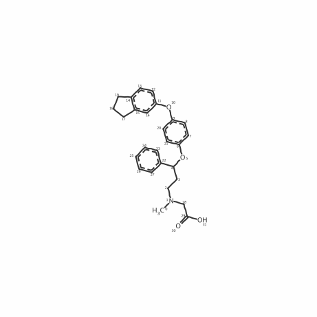 CN(CCC(Oc1ccc(Oc2ccc3c(c2)CCC3)cc1)c1ccccc1)CC(=O)O